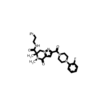 CC(C)CCNC(=O)C1(C)Cn2nc(C(=O)N3CCN(c4ccccc4F)CC3)cc2C(=O)N1C